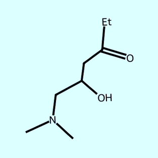 CCC(=O)CC(O)CN(C)C